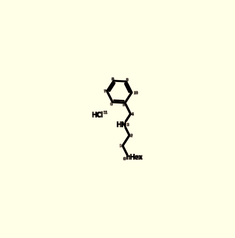 CCCCCCCCNCc1ccccc1.Cl